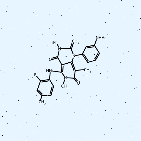 C=C1N(c2cccc(NC(C)=O)c2)c2c(c(Nc3ccc(C)cc3F)n(C)c(=O)c2C)C(=O)N1C(C)C